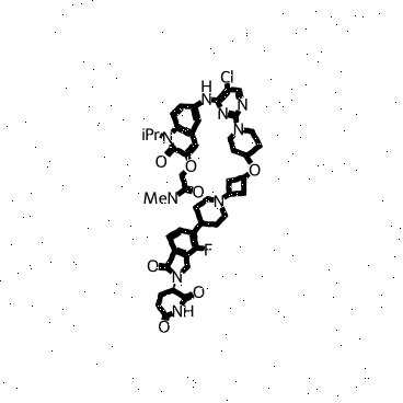 CNC(=O)COc1cc2cc(Nc3nc(N4CCC(OC5CC(N6CCC(c7ccc8c(c7F)CN([C@H]7CCC(=O)NC7=O)C8=O)CC6)C5)CC4)ncc3Cl)ccc2n(C(C)C)c1=O